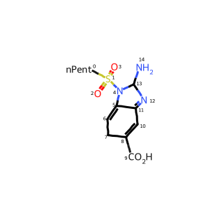 CCCCCS(=O)(=O)N1C2=CCC(C(=O)O)=CC2=NC1N